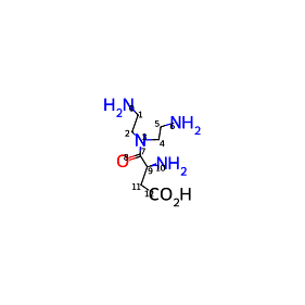 NCCN(CCN)C(=O)[C@@H](N)CC(=O)O